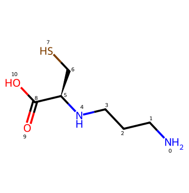 NCCCN[C@H](CS)C(=O)O